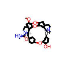 CNC(=O)N1CCc2cc(OC)c3c4c2[C@@H]1Cc1ccc(cc1)Oc1cc(ccc1O)C[C@H]1c2cc(c(cc2CCN1C)O3)O4